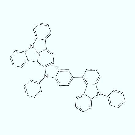 c1ccc(-n2c3ccccc3c3c(-c4ccc5c(c4)c4cc6c7ccccc7n7c8ccccc8c(c4n5-c4ccccc4)c67)cccc32)cc1